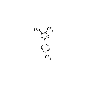 CC(C)(C)c1cc(-c2ccc(C(F)(F)F)cc2)oc1C(F)(F)F